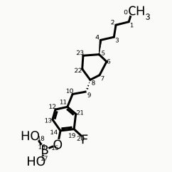 CCCCC[C@H]1CC[C@H](CCc2ccc(OB(O)O)c(F)c2)CC1